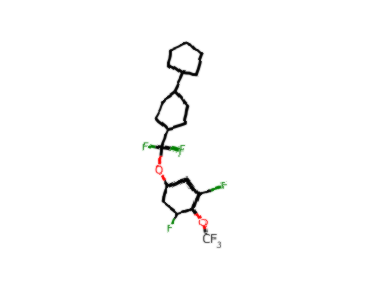 FC1CC(OC(F)(F)C2CCC(C3CCCCC3)CC2)CC(F)C1OC(F)(F)F